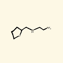 NCCNCC1CCCO1